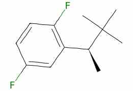 C[C@@H](c1cc(F)ccc1F)C(C)(C)C